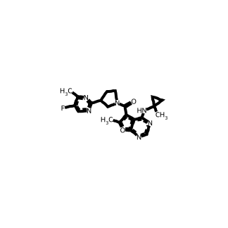 Cc1nc(C2CCN(C(=O)c3c(C)oc4ncnc(NC5(C)CC5)c34)C2)ncc1F